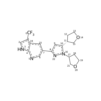 FC(F)(F)c1c[nH]c2ncc(-c3cc([C@@H]4CCOC4)n(C4CCOC4)n3)cc12